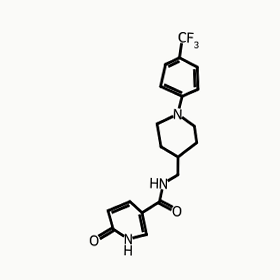 O=C(NCC1CCN(c2ccc(C(F)(F)F)cc2)CC1)c1ccc(=O)[nH]c1